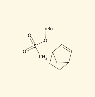 C1=CC2CCC1C2.CCCCOS(C)(=O)=O